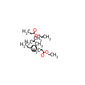 C=C(C)C.C=CC(=O)OCC.C=CCOC(=O)C=C.C=Cc1ccccc1